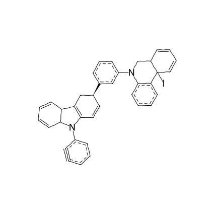 IC12C=CC=CC1CN(c1cccc([C@H]3C=CC4=C(C3)C3C=CC=CC3N4c3c#cccc3)c1)c1ccccc12